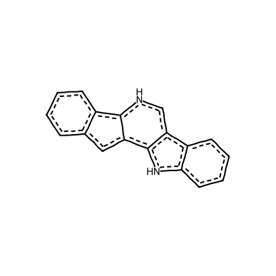 c1ccc2c3[nH]cc4c([nH]c5ccccc54)c-3cc2c1